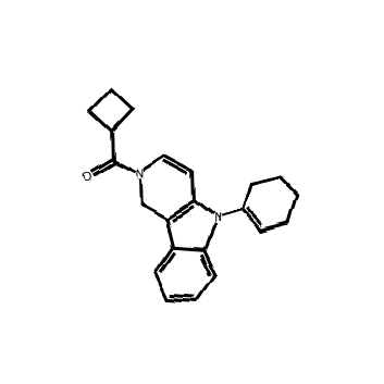 O=C(C1CCC1)N1C=Cc2c(c3ccccc3n2C2=CCCCC2)C1